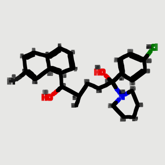 CC(C)c1ccc2cccc(C(O)C(C)CCC(O)(c3ccc(Cl)cc3)N3CCCCC3)c2c1